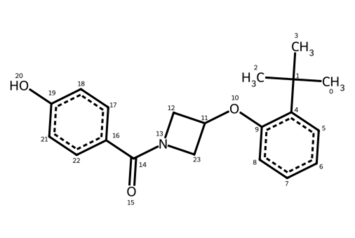 CC(C)(C)c1ccccc1OC1CN(C(=O)c2ccc(O)cc2)C1